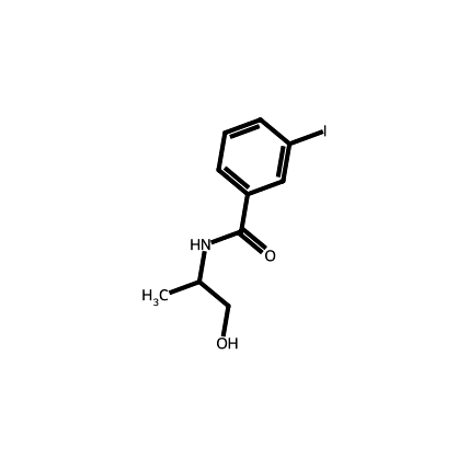 CC(CO)NC(=O)c1cccc(I)c1